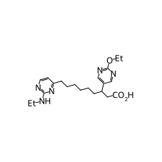 CCNc1nccc(CCCCCCC(CC(=O)O)c2cnc(OCC)nc2)n1